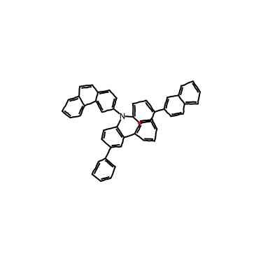 c1ccc(-c2ccc(N(c3ccc(-c4ccc5ccccc5c4)cc3)c3ccc4ccc5ccccc5c4c3)c(-c3ccccc3)c2)cc1